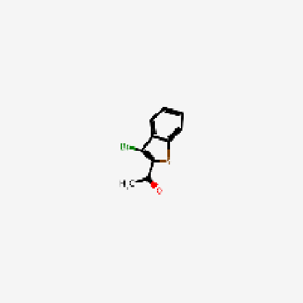 CC(=O)c1sc2ccccc2c1Br